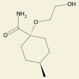 C[C@H]1CC[C@@](OCCO)(C(N)=O)CC1